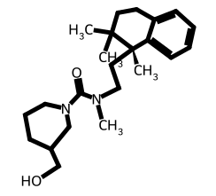 CN(CC[C@@]1(C)c2ccccc2CCC1(C)C)C(=O)N1CCCC(CO)C1